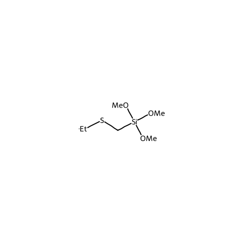 C[CH]SC[Si](OC)(OC)OC